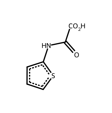 O=C(O)C(=O)Nc1cccs1